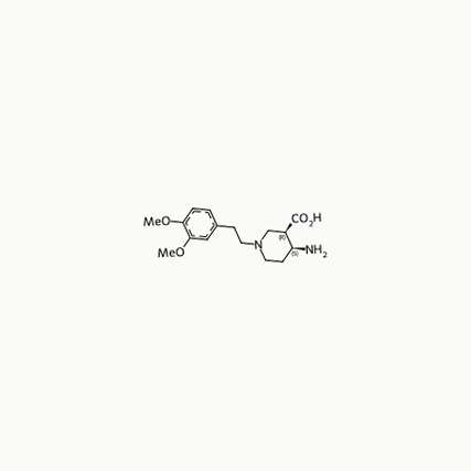 COc1ccc(CCN2CC[C@H](N)[C@H](C(=O)O)C2)cc1OC